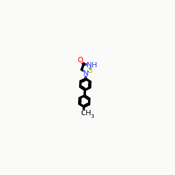 Cc1ccc(-c2ccc(N3CC(=O)NS3)cc2)cc1